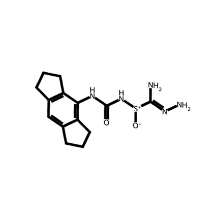 N/N=C(\N)[S+]([O-])NC(=O)Nc1c2c(cc3c1CCC3)CCC2